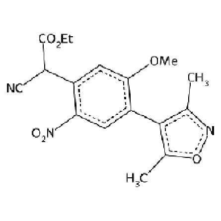 CCOC(=O)C(C#N)c1cc(OC)c(-c2c(C)noc2C)cc1[N+](=O)[O-]